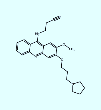 COc1cc2c(NCCC#N)c3ccccc3nc2cc1OCCCN1CCCC1